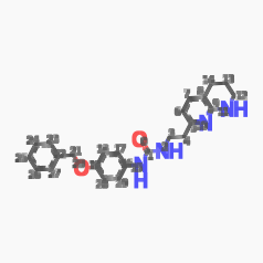 O=C(NCCc1ccc2c(n1)NCCC2)Nc1ccc(OCc2ccccc2)cc1